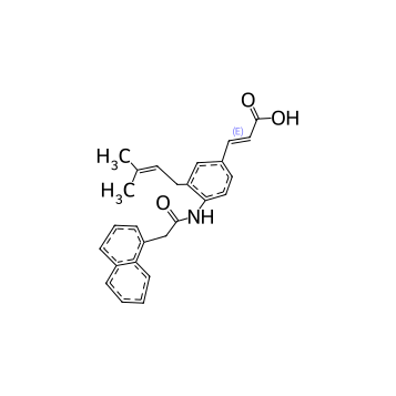 CC(C)=CCc1cc(/C=C/C(=O)O)ccc1NC(=O)Cc1cccc2ccccc12